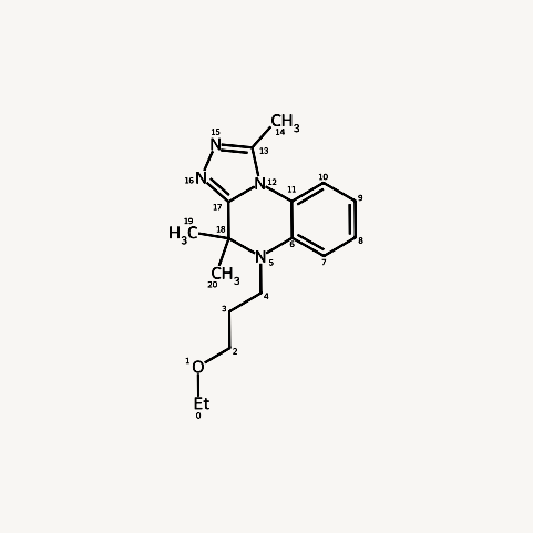 CCOCCCN1c2ccccc2-n2c(C)nnc2C1(C)C